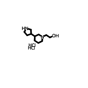 Cl.Cl.OCCN1CCCC(C2CCNC2)C1